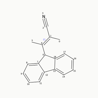 C/C(C#N)=C(/C)C1c2ccccc2-c2ccccc21